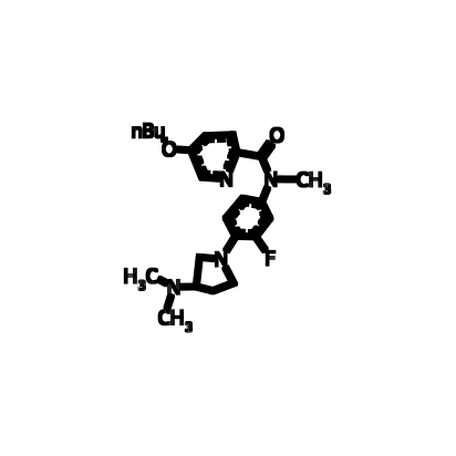 CCCCOc1ccc(C(=O)N(C)c2ccc(N3CCC(N(C)C)C3)c(F)c2)nc1